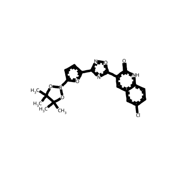 CC1(C)OB(c2ccc(-c3noc(-c4cc5cc(Cl)ccc5[nH]c4=O)n3)o2)OC1(C)C